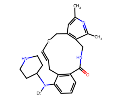 CCN(c1cccc2c1C/C=C/CCc1cc(C)nc(C)c1CNC2=O)C1CCNCC1